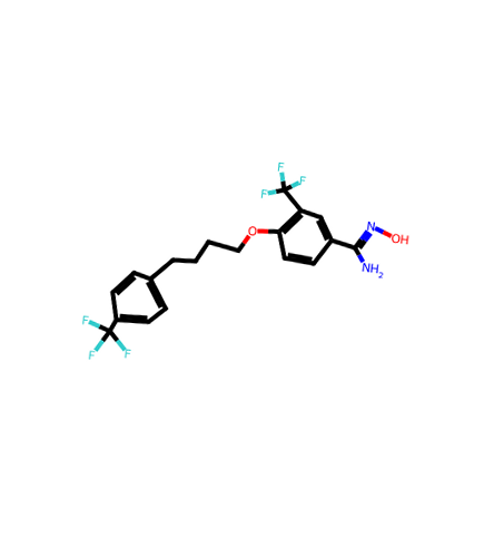 N/C(=N\O)c1ccc(OCCCCc2ccc(C(F)(F)F)cc2)c(C(F)(F)F)c1